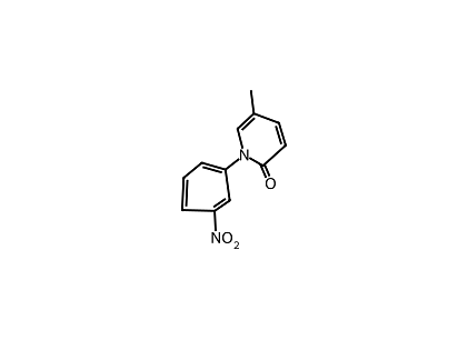 Cc1ccc(=O)n(-c2cccc([N+](=O)[O-])c2)c1